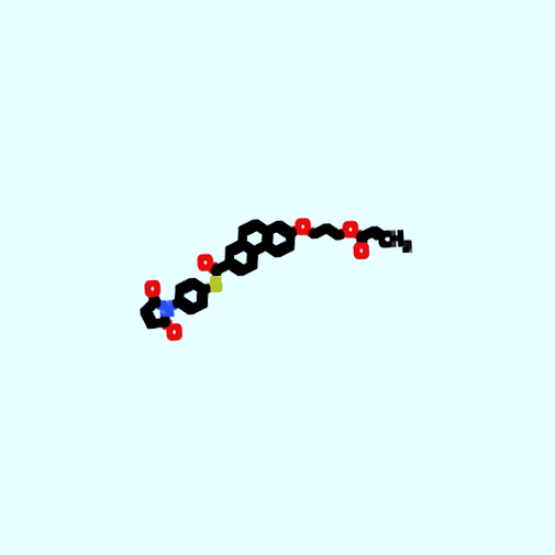 C=CC(=O)OCCCOc1ccc2c(ccc3cc(C(=O)Sc4ccc(N5C(=O)C=CC5=O)cc4)ccc32)c1